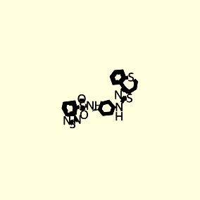 O=S(=O)(NC[C@H]1CC[C@H](Nc2nc3c(s2)CCSc2ccccc2-3)CC1)c1cccc2nsnc12